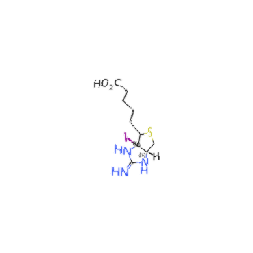 N=C1N[C@H]2CSC(CCCCC(=O)O)[C@@]2(I)N1